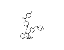 COc1ccccc1N(CCN1CCC(C(=O)c2ccc(F)cc2)CC1)C(=O)c1ccc(CN2CCOCC2)cc1